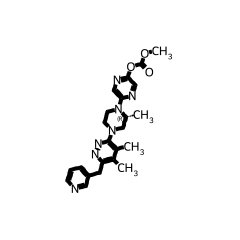 COC(=O)Oc1cnc(N2CCN(c3nnc(Cc4cccnc4)c(C)c3C)C[C@H]2C)cn1